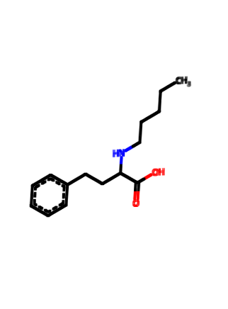 CCCCCNC(CCc1ccccc1)C(=O)O